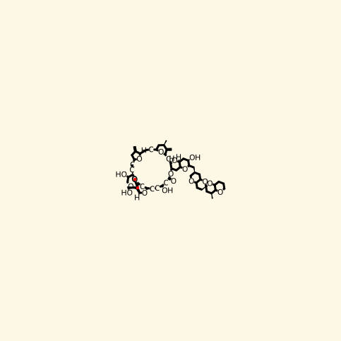 C=C1C2C[C@@H]3O[C@H]4C[C@@H](O)C(C[C@@H]5COC6CC[C@@]7(C[C@H](C)C8OCCCC8O7)OC6C5)OC4CC3OC(=O)CC(O)CCC3CC4O[C@]5(CCC6CC(=C)[C@H](CCC(C[C@H]1C)O2)O6)OC(CO)[C@H](O3)C4OCC5O